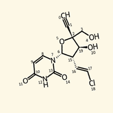 C#C[C@]1(CO)O[C@@H](n2ccc(=O)[nH]c2=O)[C@@H](/C=C/Cl)[C@@H]1O